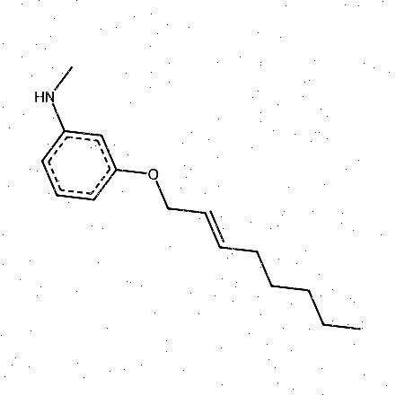 CCCCCC=CCOc1cccc(NC)c1